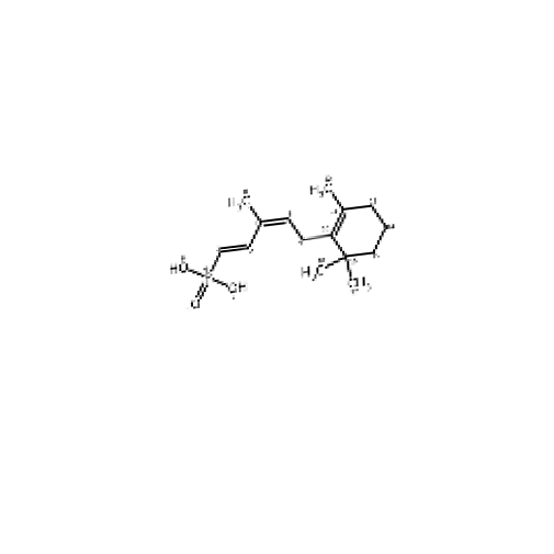 CC(C=CP(=O)(O)O)=CCC1=C(C)CCCC1(C)C